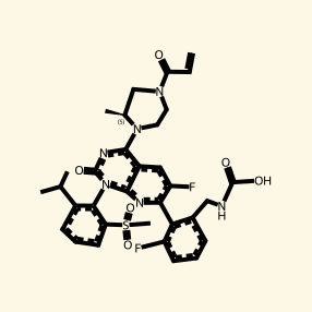 C=CC(=O)N1CCN(c2nc(=O)n(-c3c(C(C)C)cccc3S(C)(=O)=O)c3nc(-c4c(F)cccc4CNC(=O)O)c(F)cc23)[C@@H](C)C1